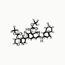 Cc1cc(Nc2cc3cc(-c4cnc5c(c4C)N(C(=O)OC(C)(C)C)CCO5)c(F)c(NC(=O)OC(C)(C)C)c3cn2)cc2c1CCN(C)C2